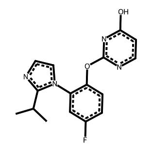 CC(C)c1nccn1-c1cc(F)ccc1Oc1nccc(O)n1